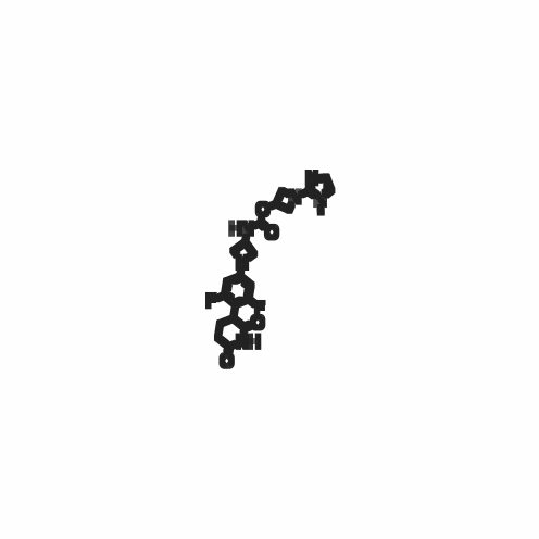 Cn1ccnc1N1CC(OC(=O)NC2CN(c3cc(F)c(C4CCC(=O)NC4=O)c(F)c3)C2)C1